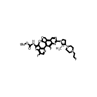 C[C@H]1[C@@H](N2CCN(CCF)CC2)CCN1c1ncc2c3c(c(-c4ncc(F)c5sc(NC(=O)OC(C)(C)C)c(C#N)c45)c(F)c2n1)COC3